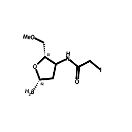 B[C@H]1CC(NC(=O)CI)[C@@H](COC)O1